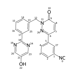 [C-]#[N+]c1cccc(-c2ccc(=O)n(Cc3cccc(-c4ncc(O)cn4)c3)n2)c1